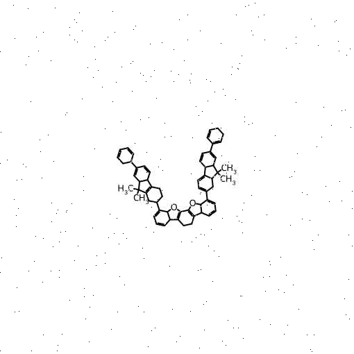 CC1(C)C2=C(CCC(C3=CC=CC4C5=C(OC34)C3=C(CC5)C4C=CC=C(C5=CC=C6C7C=CC(C8=CCCC=C8)=CC7C(C)(C)C6C5)C4O3)C2)C2C=CC(C3C=CC=CC3)=CC21